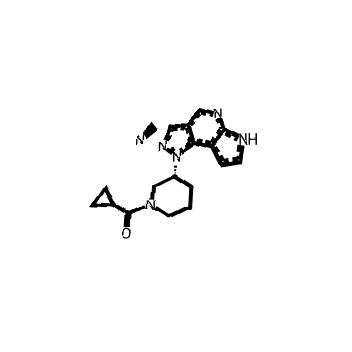 C#N.O=C(C1CC1)N1CCC[C@@H](n2ncc3cnc4[nH]ccc4c32)C1